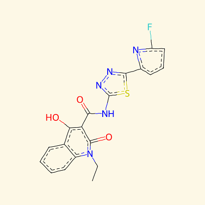 CCn1c(=O)c(C(=O)Nc2nnc(-c3cccc(F)n3)s2)c(O)c2ccccc21